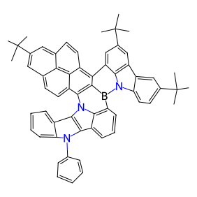 CC(C)(C)c1cc2ccc3c4c5c(c6ccc(c1)c2c36)-n1c2c(cccc2c2c1c1ccccc1n2-c1ccccc1)B5n1c2ccc(C(C)(C)C)cc2c2cc(C(C)(C)C)cc-4c21